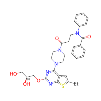 CCc1cc2c(N3CCN(C(=O)CCN(C(=O)c4ccccc4)c4ccccc4)CC3)nc(OC[C@@H](O)CO)nc2s1